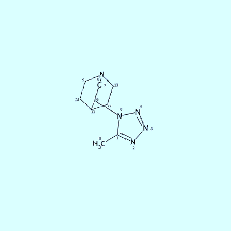 Cc1nnnn1C1CN2CCC1CC2